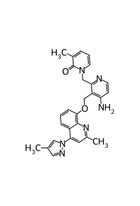 Cc1cnn(-c2cc(C)nc3c(OCc4c(N)ccnc4Cn4cccc(C)c4=O)cccc23)c1